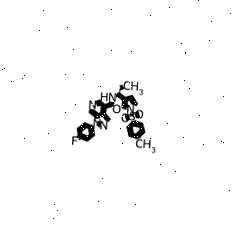 CC[C@@H](NC(=O)c1cncc2c1cnn2-c1ccc(F)cc1)c1ccn(S(=O)(=O)c2ccc(C)cc2)c1